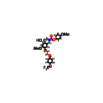 COc1ccc(OC(=O)N(CC(=O)O)Cc2ccc(OC)c(OCCOc3ccc(OC(F)(F)F)cc3)c2)cc1